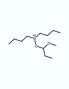 CCCC[SiH](CCCC)OC(CC)OC